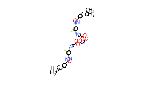 CC(C)Cc1ccc(-c2nc(-c3ccc(CN4CC(C(=O)OC(=O)/C=C\C(=O)OC(=O)C5CN(Cc6ccc(-c7noc(-c8ccc(CC(C)C)cc8)n7)cc6F)C5)C4)c(F)c3)no2)cc1